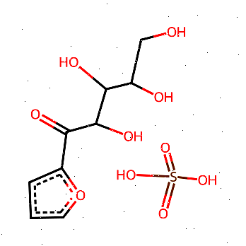 O=C(c1ccco1)C(O)C(O)C(O)CO.O=S(=O)(O)O